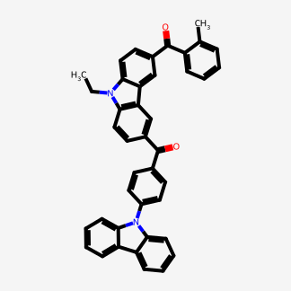 CCn1c2ccc(C(=O)c3ccc(-n4c5ccccc5c5ccccc54)cc3)cc2c2cc(C(=O)c3ccccc3C)ccc21